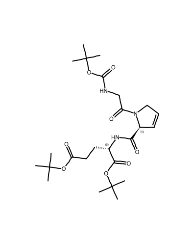 CC(C)(C)OC(=O)CC[C@H](NC(=O)[C@@H]1C=CCN1C(=O)CNC(=O)OC(C)(C)C)C(=O)OC(C)(C)C